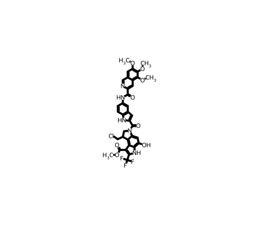 COC(=O)c1c(C(F)(F)F)[nH]c2c(O)cc3c(c12)C(CCl)CN3C(=O)c1cc2cc(NC(=O)c3cc4c(OC)c(OC)c(OC)cc4cn3)ccc2[nH]1